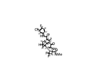 CNC(=O)C1(NC(=O)C(=O)c2c(C)c(C(=O)Nc3ccc(F)c(Cl)c3)n3c2C2(C)C[C@H]2C3)CC(F)(F)C1